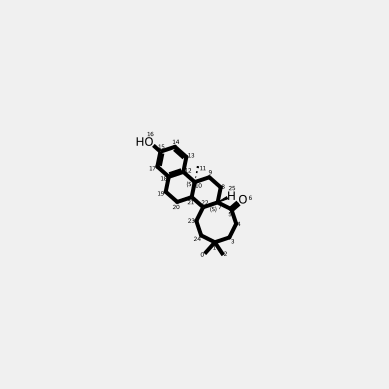 CC1(C)CCC(=O)[C@H]2CC[C@]3(C)c4ccc(O)cc4CCC3C2CC1